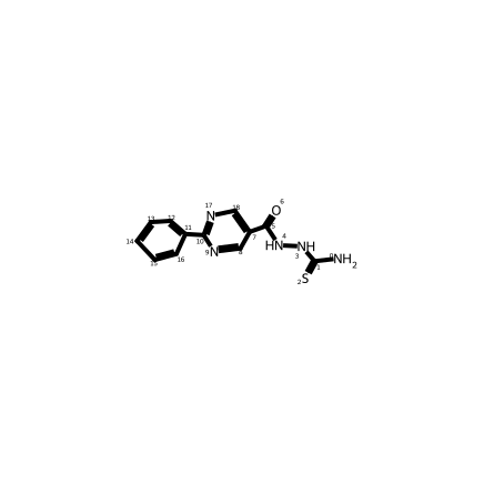 NC(=S)NNC(=O)c1cnc(-c2ccccc2)nc1